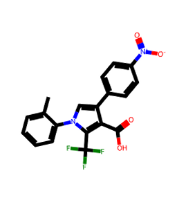 Cc1ccccc1-n1cc(-c2ccc([N+](=O)[O-])cc2)c(C(=O)O)c1C(F)(F)F